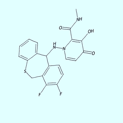 CNC(=O)c1c(O)c(=O)ccn1NC1c2ccccc2SCc2c1ccc(F)c2F